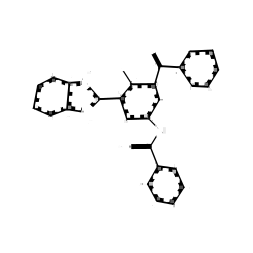 O=C(Nc1cc(C(=O)c2ccccc2)c(O)c(-c2nc3ccccc3o2)c1)c1ccccc1